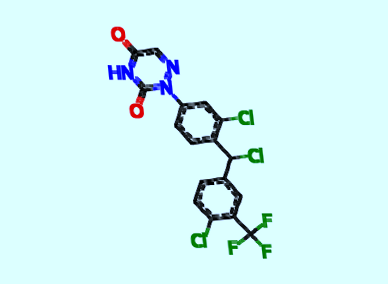 O=c1cnn(-c2ccc(C(Cl)c3ccc(Cl)c(C(F)(F)F)c3)c(Cl)c2)c(=O)[nH]1